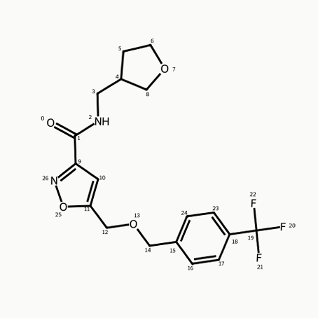 O=C(NCC1CCOC1)c1cc(COCc2ccc(C(F)(F)F)cc2)on1